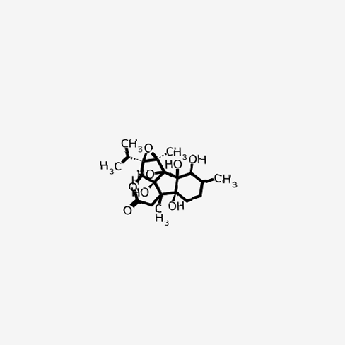 CC1CC[C@@]2(O)C(O)(C1O)C1(O)[C@@]3(O)[C@H](OC(=O)CC23C)[C@@]2(C(C)C)O[C@@]12C